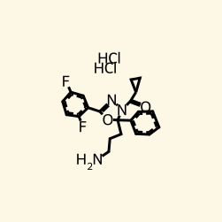 Cl.Cl.NCCCC1(c2ccccc2)OC(c2cc(F)ccc2F)=NN1C(=O)C1CC1